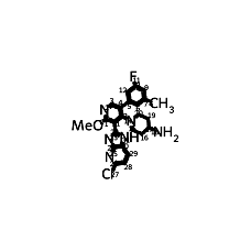 COc1ncc(-c2cc(C)cc(F)c2)c(N2CCC(N)CC2)c1-c1nc2nc(Cl)ccc2[nH]1